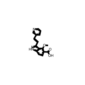 COc1c(C(=O)O)ccc2[nH]nc(/C=C/c3cccnc3)c12